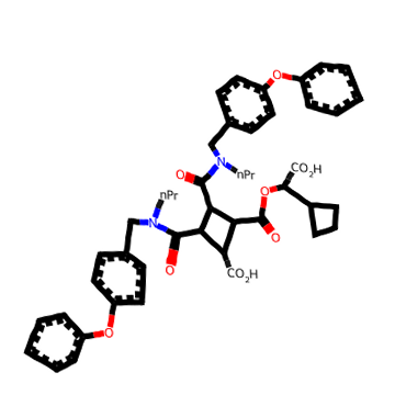 CCCN(Cc1ccc(Oc2ccccc2)cc1)C(=O)C1C(C(=O)O)C(C(=O)OC(C(=O)O)C2CCC2)C1C(=O)N(CCC)Cc1ccc(Oc2ccccc2)cc1